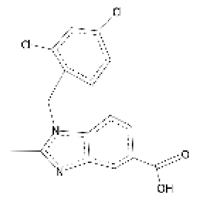 Cc1nc2cc(C(=O)O)ccc2n1Cc1ccc(Cl)cc1Cl